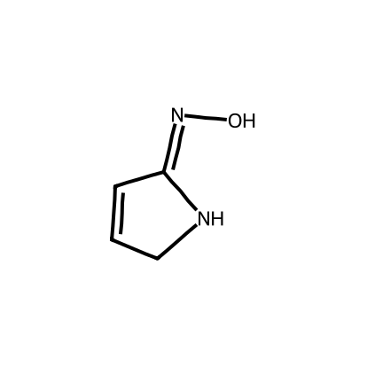 ON=C1C=CCN1